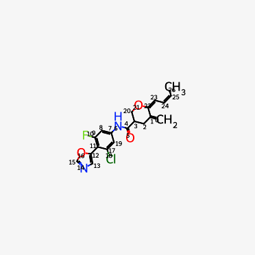 C=C1CC(C(=O)Nc2cc(F)c(-c3cnco3)c(Cl)c2)CO/C1=C/C=C\C